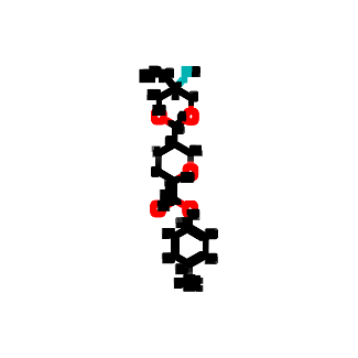 CCCC1(F)COC(C2CCC(C(=O)Oc3ccc(CC)cc3)OC2)OC1